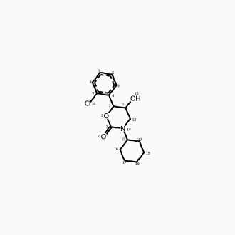 O=C1OC(c2ccccc2Cl)C(O)CN1C1CCCCC1